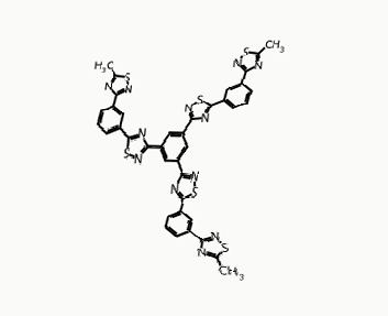 Cc1nc(-c2cccc(-c3nc(-c4cc(-c5nsc(-c6cccc(-c7nsc(C)n7)c6)n5)cc(-c5nsc(-c6cccc(-c7nsc(C)n7)c6)n5)c4)ns3)c2)ns1